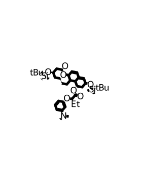 CC[C@H](Oc1cccc(N(C)C)c1)C(=O)OC1CC(O[Si](C)(C)C(C)(C)C)C=C2C=CC(C)C(CC[C@@H]3C[C@@H](O[Si](C)(C)C(C)(C)C)CC(=O)O3)C21